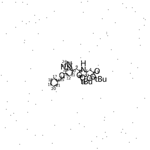 CC(C)(C)OC(=O)CC(NC(=O)Cc1ccc(OCc2ccccc2)c2ncnn12)C(=O)OC(C)(C)C